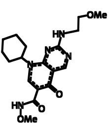 COCCNc1ncc2c(=O)c(C(=O)NOC)cn(C3CCCCC3)c2n1